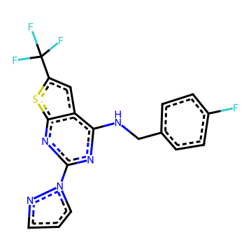 Fc1ccc(CNc2nc(-n3cccn3)nc3sc(C(F)(F)F)cc23)cc1